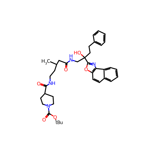 CC(CCNC(=O)C1CCN(C(=O)OC(C)(C)C)CC1)CC(=O)NCC(O)(CCc1ccccc1)c1nc2c(ccc3ccccc32)o1